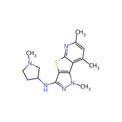 Cc1cc(C)c2c(n1)sc1c(NC3CCN(C)C3)nn(C)c12